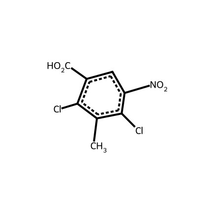 Cc1c(Cl)c(C(=O)O)cc([N+](=O)[O-])c1Cl